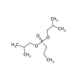 CCCP(=O)(OCC(C)C)OCC(C)C